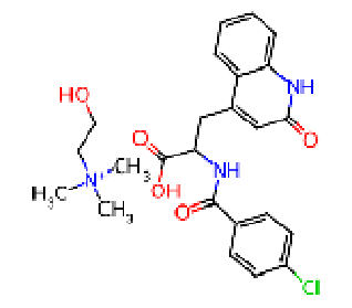 C[N+](C)(C)CCO.O=C(NC(Cc1cc(=O)[nH]c2ccccc12)C(=O)O)c1ccc(Cl)cc1